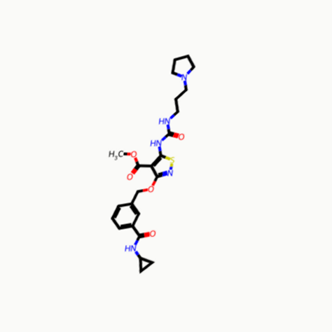 COC(=O)c1c(OCc2cccc(C(=O)NC3CC3)c2)nsc1NC(=O)NCCCN1CCCC1